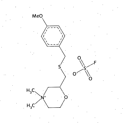 COc1ccc(CSCC2C[N+](C)(C)CCO2)cc1.O=S(=O)([O-])F